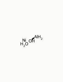 O.[Ni].[OH][AlH2]